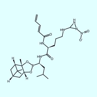 C=C/C=C/C(=O)N[C@@H](CCCNC1NN1[N+](=O)[O-])C(=O)N[C@@H](CC(C)C)B1O[C@@H]2C[C@@H]3C[C@@H](C3(C)C)[C@]2(C)O1